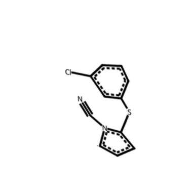 N#Cn1[c]ccc1Sc1cccc(Cl)c1